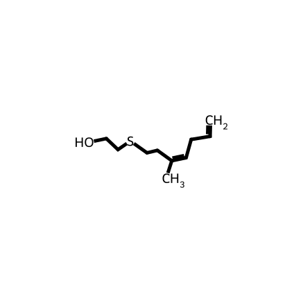 C=CCC=C(C)CCSCCO